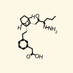 CCCC(=NN)C(=O)C[C@@H]1[C@H](CCc2cccc(CC(=O)O)c2)[C@@H]2CC[C@H]1O2